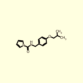 CC(C)COc1ccc(CNC(=O)n2cccc2)cc1